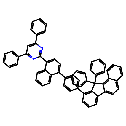 c1ccc(-c2cc(-c3ccccc3)nc(-c3ccc(-c4ccc(-c5cccc6c5C(c5ccccc5)(c5ccccc5)c5c-6ccc6ccccc56)cc4)c4ccccc34)n2)cc1